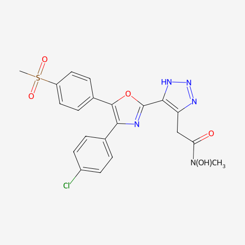 CN(O)C(=O)Cc1nn[nH]c1-c1nc(-c2ccc(Cl)cc2)c(-c2ccc(S(C)(=O)=O)cc2)o1